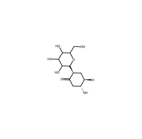 CCC[C@@H]1CC(=O)[C@@H](C2OC(CO)C(O)C(O)C2O)C[C@H]1CC